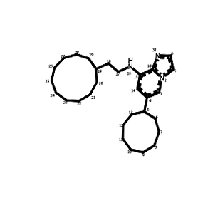 c1cn2cc(C3CCCCCCCC3)cc(NCCC3CCCCCCCCCC3)c2n1